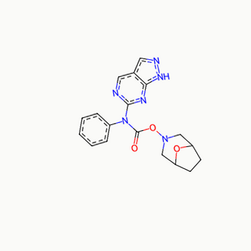 O=C(ON1CC2CCC(C1)O2)N(c1ccccc1)c1ncc2cn[nH]c2n1